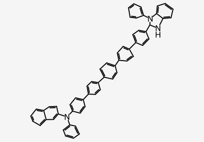 c1ccc(N(c2ccc(-c3ccc(-c4ccc(-c5ccc(-c6ccc(C7Nc8ccccc8N7c7ccccc7)cc6)cc5)cc4)cc3)cc2)c2ccc3ccccc3c2)cc1